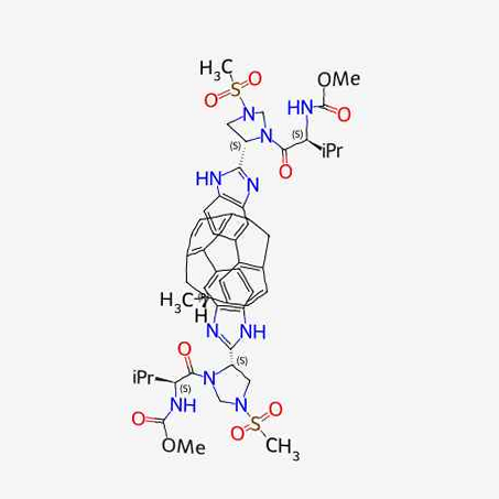 COC(=O)N[C@H](C(=O)N1CN(S(C)(=O)=O)C[C@H]1c1nc2cc(-c3cc4ccc3CCc3ccc(c(-c5ccc6[nH]c([C@@H]7CN(S(C)(=O)=O)CN7C(=O)[C@@H](NC(=O)OC)C(C)C)nc6c5)c3)C[C@H]4C)ccc2[nH]1)C(C)C